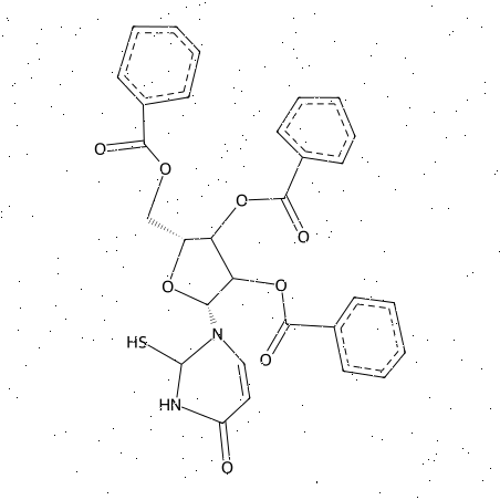 O=C1C=CN([C@@H]2O[C@H](COC(=O)c3ccccc3)C(OC(=O)c3ccccc3)C2OC(=O)c2ccccc2)C(S)N1